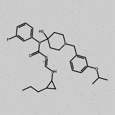 CCCC1CC1N/C=N/C(=O)N(c1cccc(F)c1)C1(S)CCN(Cc2cccc(OC(C)C)c2)CC1